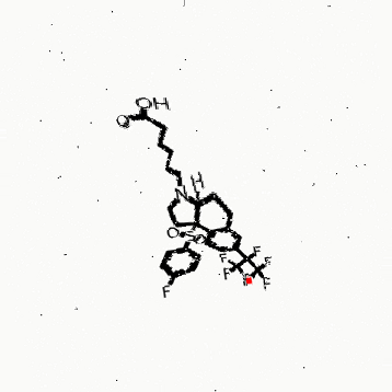 O=C(O)CCCCCN1CC[C@@]2(S(=O)(=O)c3ccc(F)cc3)c3ccc(C(F)(C(F)(F)F)C(F)(F)F)cc3CC[C@@H]12